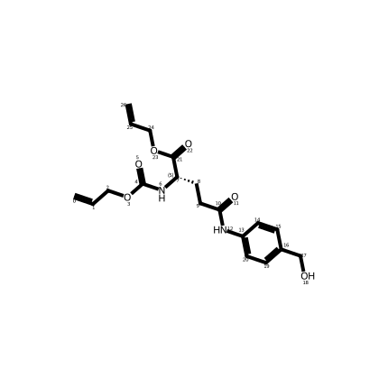 C=CCOC(=O)N[C@@H](CCC(=O)Nc1ccc(CO)cc1)C(=O)OCC=C